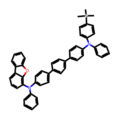 C[Si](C)(C)c1ccc(N(c2ccccc2)c2ccc(-c3ccc(-c4ccc(N(c5ccccc5)c5cccc6c5oc5ccccc56)cc4)cc3)cc2)cc1